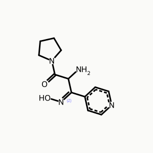 NC(C(=O)N1CCCC1)/C(=N\O)c1ccncc1